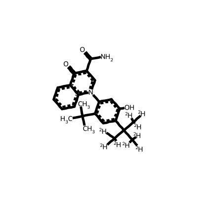 [2H]C([2H])([2H])C(c1cc(C(C)(C)C)c(-n2cc(C(N)=O)c(=O)c3ccccc32)cc1O)(C([2H])([2H])[2H])C([2H])([2H])[2H]